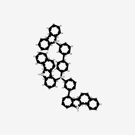 c1cc(-c2cccc3oc4c5ccccc5ccc4c23)cc(N(c2ccc(-c3cccc(-n4c5ccccc5c5ccccc54)c3)cc2)c2cccc3oc4c5ccccc5ccc4c23)c1